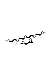 CCCOCC1CO1.OCCOCCOCCOCCO